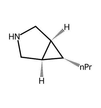 CCC[C@@H]1[C@H]2CNC[C@@H]12